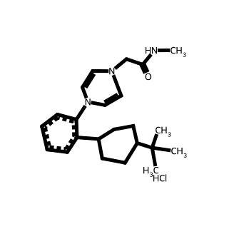 CNC(=O)CN1C=CN(c2ccccc2C2CCC(C(C)(C)C)CC2)C=C1.Cl